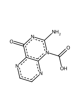 Nc1nc(=O)c2nccnc2n1C(=O)O